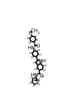 COc1ccc(C(=O)Nc2ccc(-c3cc4cc(C(=O)NC5CC6CCN5CC6)ccc4[nH]3)cc2)cc1